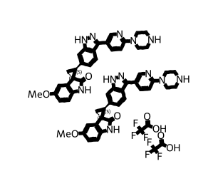 COc1ccc2c(c1)[C@]1(C[C@H]1c1ccc3c(-c4ccc(N5CCNCC5)nc4)n[nH]c3c1)C(=O)N2.COc1ccc2c(c1)[C@]1(C[C@H]1c1ccc3c(-c4ccc(N5CCNCC5)nc4)n[nH]c3c1)C(=O)N2.O=C(O)C(F)(F)F.O=C(O)C(F)(F)F